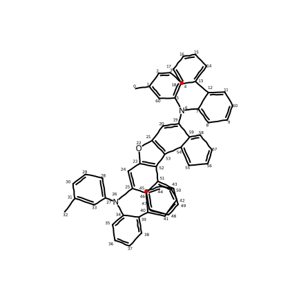 Cc1cccc(N(c2ccccc2-c2ccccc2)c2cc3oc4cc(N(c5cccc(C)c5)c5ccccc5-c5ccccc5)c5ccccc5c4c3c3ccccc23)c1